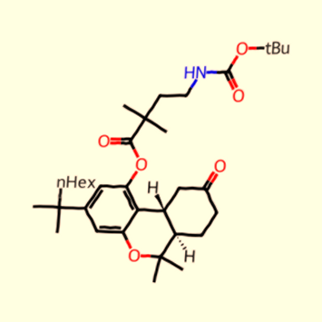 CCCCCCC(C)(C)c1cc(OC(=O)C(C)(C)CCNC(=O)OC(C)(C)C)c2c(c1)OC(C)(C)[C@@H]1CCC(=O)C[C@@H]21